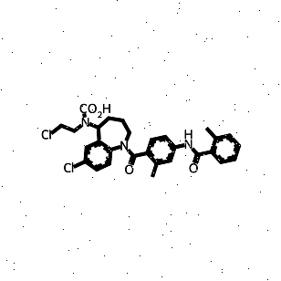 Cc1ccccc1C(=O)Nc1ccc(C(=O)N2CCCC(N(CCCl)C(=O)O)c3cc(Cl)ccc32)c(C)c1